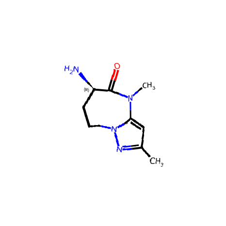 Cc1cc2n(n1)CC[C@@H](N)C(=O)N2C